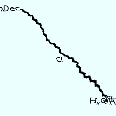 CCCCCCCCCCCCCCCCCCCCCCCCCCCCCCCCCCCCCCCCCCCCCCCCCCC[N+](C)(C)C.[Cl-]